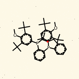 COc1c(C(C)(C)C)cc(P(c2cc(C(C)(C)C)c(OC)c(C(C)(C)C)c2)c2ccccc2P2c3ccccc3CC2C(C)C)cc1C(C)(C)C